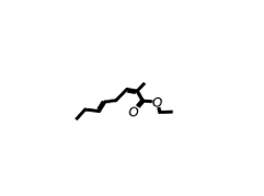 CCC=CCC=C(C)C(=O)OCC